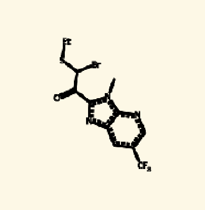 CCSC(Br)C(=O)c1nc2cc(C(F)(F)F)cnc2n1C